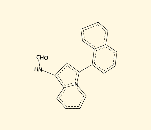 O=CNc1cc(-c2cccc3ccccc23)n2ccccc12